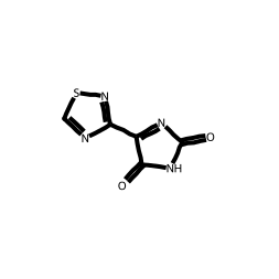 O=C1N=C(c2ncsn2)C(=O)N1